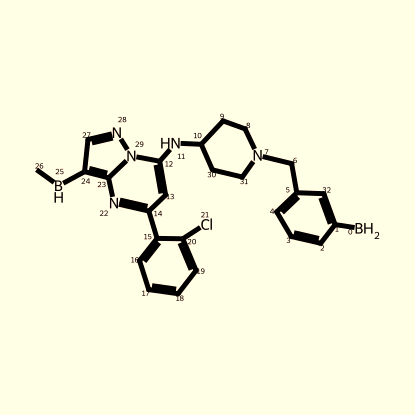 Bc1cccc(CN2CCC(Nc3cc(-c4ccccc4Cl)nc4c(BC)cnn34)CC2)c1